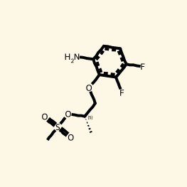 C[C@@H](COc1c(N)ccc(F)c1F)OS(C)(=O)=O